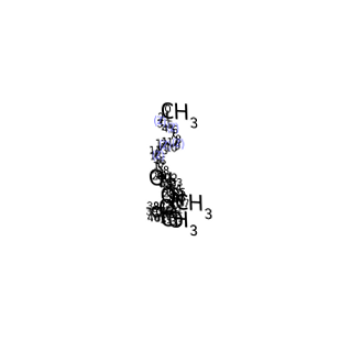 CC/C=C\C/C=C\C/C=C\C/C=C\C/C=C\CCCC(=O)N1CCC(CN(C)C(=O)C2=CC(=O)C(C)(c3ccccc3)O2)CC1